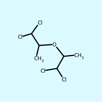 CC(OC(C)C(Cl)Cl)C(Cl)Cl